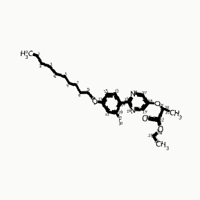 CCCCCCCCCCOc1ccc(-c2ncc(OC(C)C(=O)OCC)cn2)c(F)c1